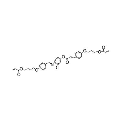 C=CC(=O)OCCCCOc1ccc(/C=C/C(=O)Oc2ccc(/N=C/c3ccc(OCCCCOC(=O)C=C)cc3)c(Cl)c2)cc1